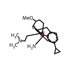 COC1CCC2(CC1)Cc1ccc(C3CC3)cc1C21N=C(N)N(CCN(C)C)C1=O